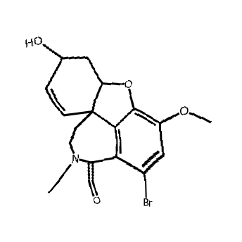 COc1cc(Br)c2c3c1OC1CC(O)C=CC31CCN(C)C2=O